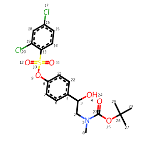 CN(CC(O)c1ccc(OS(=O)(=O)c2ccc(Cl)cc2Cl)cc1)C(=O)OC(C)(C)C